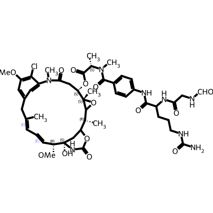 COc1cc2cc(c1Cl)N(C)C(=O)C[C@H](OC(=O)[C@H](C)N(C)C(=O)c1ccc(NC(=O)C(CCCNC(N)=O)NC(=O)CNC=O)cc1)[C@]1(C)OC1[C@H](C)C1C[C@@](O)(NC(=O)O1)[C@H](OC)/C=C/C=C(\C)C2